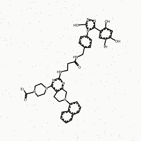 CCC(=O)N1CCN(c2nc(NCCC(=O)NCc3ccc(-n4c(O)nnc4-c4cc(C(C)C)c(O)cc4O)cc3)nc3c2CCN(c2cccc4ccccc24)C3)CC1